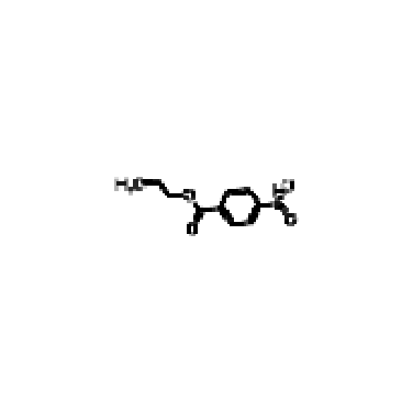 C=CCOC(=O)c1ccc([SH](=O)=O)cc1